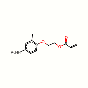 C=CC(=O)OCCOc1ccc(NC(C)=O)cc1C